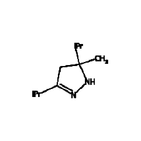 CC(C)C1=NNC(C)(C(C)C)C1